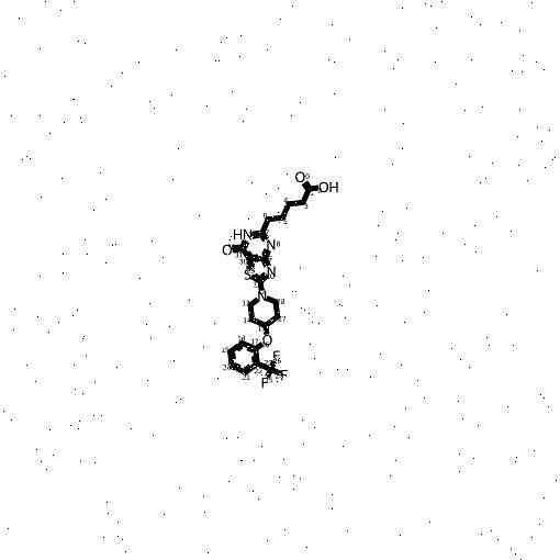 O=C(O)CCCCc1nc2nc(N3CCC(Oc4ccccc4C(F)(F)F)CC3)sc2c(=O)[nH]1